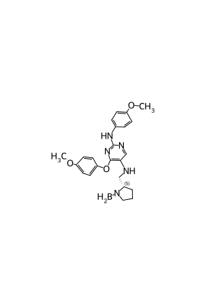 BN1CCC[C@H]1CNc1cnc(Nc2ccc(OC)cc2)nc1Oc1ccc(OC)cc1